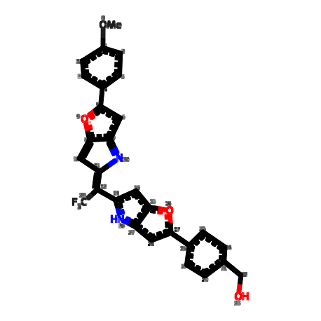 COc1ccc(-c2cc3c(o2)=C/C(=C(/c2cc4oc(-c5ccc(CO)cc5)cc4[nH]2)C(F)(F)F)N=3)cc1